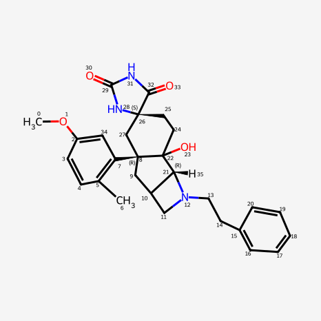 COc1ccc(C)c([C@]23CC4CN(CCc5ccccc5)[C@H]4C2(O)CC[C@@]2(C3)NC(=O)NC2=O)c1